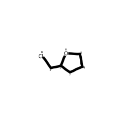 ClCC1C[CH]CO1